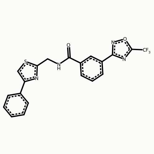 O=C(NCc1nc(-c2ccccc2)cs1)c1cccc(-c2noc(C(F)(F)F)n2)c1